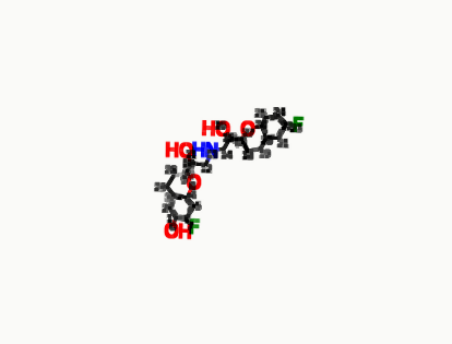 Oc1cc2c(cc1F)O[C@@H]([C@@H](O)CNC[C@H](O)[C@@H]1CCc3cc(F)ccc3O1)CC2